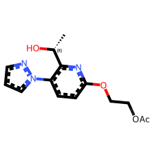 CC(=O)OCCOc1ccc(-n2cccn2)c([C@@H](C)O)n1